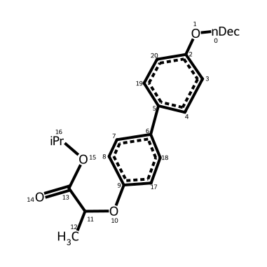 CCCCCCCCCCOc1ccc(-c2ccc(OC(C)C(=O)OC(C)C)cc2)cc1